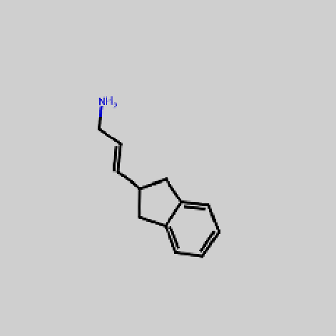 NCC=CC1Cc2ccccc2C1